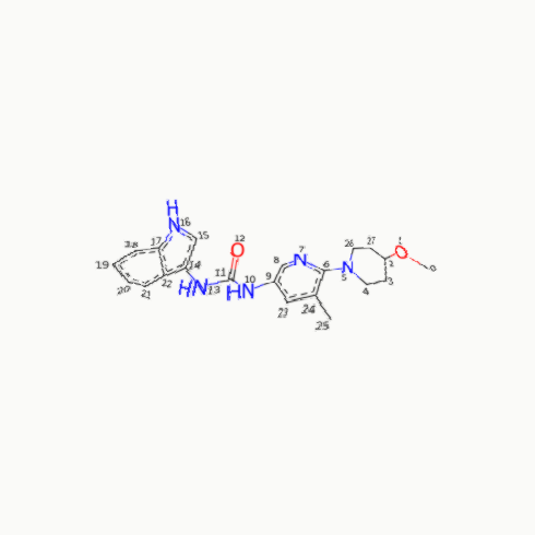 COC1CCN(c2ncc(NC(=O)Nc3c[nH]c4ccccc34)cc2C)CC1